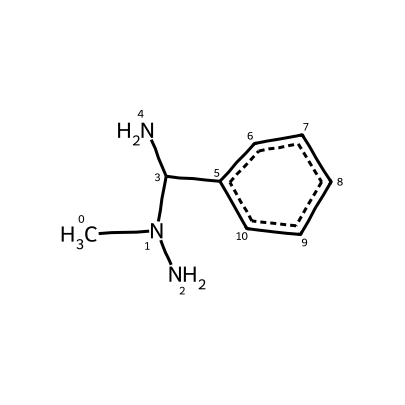 CN(N)C(N)c1ccccc1